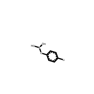 [Li][c]1ccc(OB(O)O)cc1